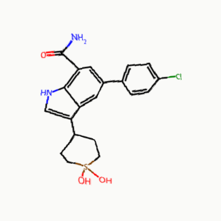 NC(=O)c1cc(-c2ccc(Cl)cc2)cc2c(C3CCS(O)(O)CC3)c[nH]c12